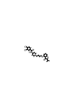 CC(C)=C1Oc2cccc(OCC=CCN3CCC(NC(=O)c4ccc(Cl)c(Cl)c4)CC3)c2C1=O